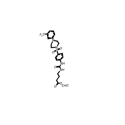 O=COC(=O)CCCNC(=O)Nc1ccc(S(=O)(=O)N2CCN(c3cccc(C(F)(F)F)c3)CC2)cc1